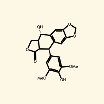 COc1cc([C@@H]2c3cc4c(cc3[C@@H](O)C3COC(=O)C32)OCO4)cc(OC)c1O